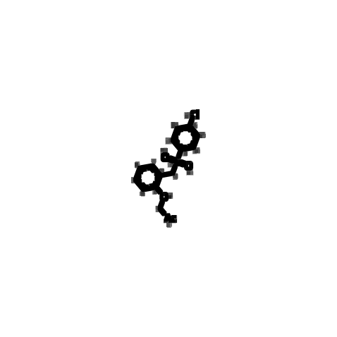 CC(=O)COc1ccccc1CS(=O)(=O)c1ccc(Cl)cc1